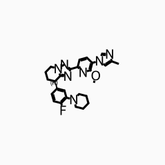 COc1nc(-c2nc3n(n2)CCC[C@@H]3c2ccc(F)c(N3CCCCC3)c2)ccc1-n1cnc(C)c1